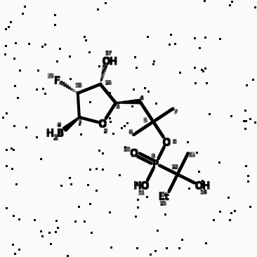 B[C@@H]1O[C@H](CC(C)(C)OP(=O)(O)C(C)(O)CC)[C@@H](O)[C@H]1F